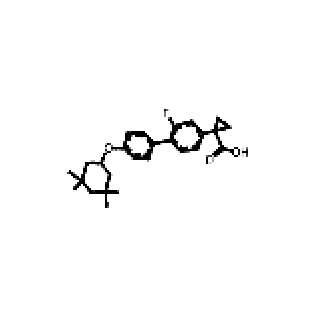 CC1(C)CC(Oc2ccc(-c3ccc(C4(C(=O)O)CC4)cc3F)cc2)CC(C)(C)C1